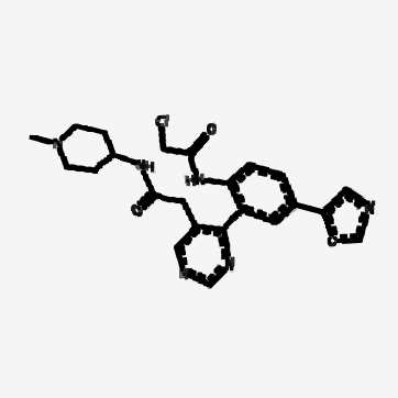 CN1CCC(NC(=O)Cc2cncnc2-c2cc(-c3cnco3)ccc2NC(=O)CCl)CC1